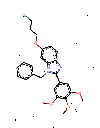 COc1cc(-c2nc3ccc(OCCCCl)cc3n2Cc2ccccc2)cc(OC)c1OC